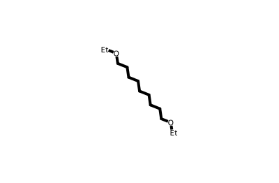 CCOCCCCCCCCCOCC